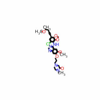 COc1cc2c(Nc3c(Cl)cc(C#CCC(C)OC)c4c3OCO4)ncnc2cc1OCCCN1CCN(C)C(=O)C1